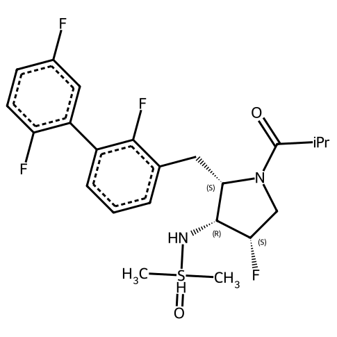 CC(C)C(=O)N1C[C@H](F)[C@H](N[SH](C)(C)=O)[C@@H]1Cc1cccc(-c2cc(F)ccc2F)c1F